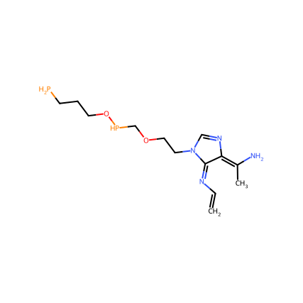 C=C/N=C1\C(=C(/C)N)N=CN1CCOCPOCCCP